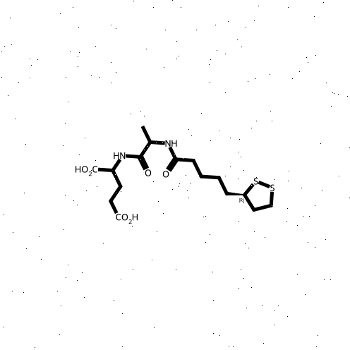 CC(NC(=O)CCCC[C@@H]1CCSS1)C(=O)NC(CCC(=O)O)C(=O)O